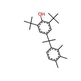 Cc1ccc(C(C)(C)c2cc(C(C)(C)C)c(O)c(C(C)(C)C)c2)c(C)c1C